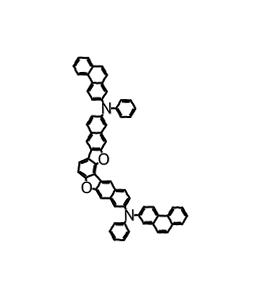 c1ccc(N(c2ccc3cc4c(cc3c2)oc2c4ccc3oc4cc5cc(N(c6ccccc6)c6ccc7c(ccc8ccccc87)c6)ccc5cc4c32)c2ccc3c(ccc4ccccc43)c2)cc1